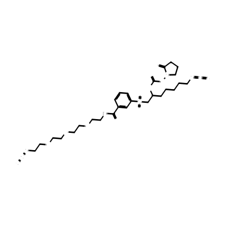 [N-]=[N+]=NCCCCCC(CS(=O)(=O)c1cccc(C(=O)NCCOCCOCCOCCN=[N+]=[N-])c1)OC(=O)ON1CCCC1=O